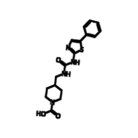 O=C(NCC1CCN(C(=O)O)CC1)Nc1ncc(-c2ccccc2)s1